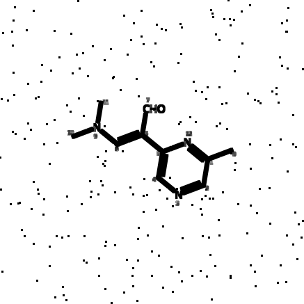 Cc1cncc(C(C=O)=CN(C)C)n1